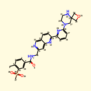 Cc1ccc(C(=O)NCc2cc3nc(-c4cccc(N5CCNC6(COC6)C5)n4)ccc3cn2)cc1S(C)(=O)=O